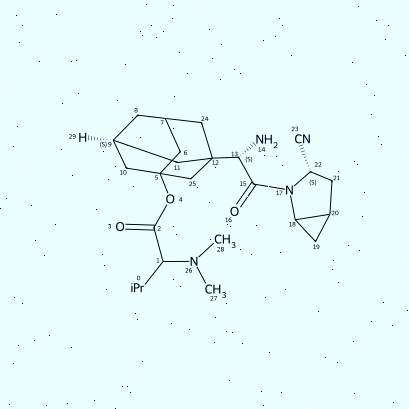 CC(C)C(C(=O)OC12CC3C[C@H](C1)CC([C@H](N)C(=O)N1C4CC4C[C@H]1C#N)(C3)C2)N(C)C